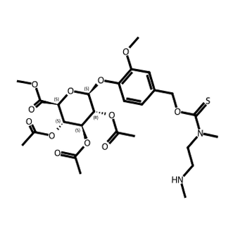 CNCCN(C)C(=S)OCc1ccc(O[C@@H]2O[C@H](C(=O)OC)[C@@H](OC(C)=O)[C@H](OC(C)=O)[C@H]2OC(C)=O)c(OC)c1